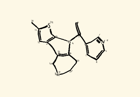 C=C(c1cccnc1)n1c2c(c3cc(C)sc31)CNCC2